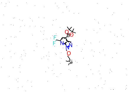 CC1(C)OB(c2cc(C(F)F)nc3c2cnn3COCC[Si](C)(C)C)OC1(C)C